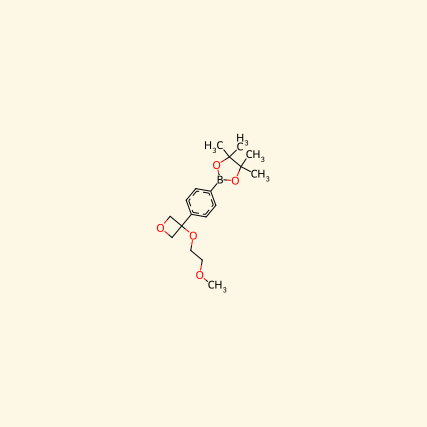 COCCOC1(c2ccc(B3OC(C)(C)C(C)(C)O3)cc2)COC1